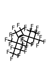 FC(F)(F)C(F)(C(F)(F)F)C(C1=C(C(C(F)(F)F)(C(F)(F)F)C(F)(C(F)(F)F)C(F)(F)F)C(F)(F)C1(F)F)(C(F)(F)F)C(F)(F)F